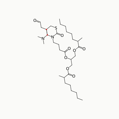 CCCCCCC(C)C(=O)OCC(COC(=O)C(C)CCCCCC)OC(=O)CCCN(CCCC=O)C(=O)SCCCN(C)C